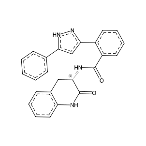 O=C(N[C@H]1Cc2ccccc2NC1=O)c1ccccc1-c1cc(-c2ccccc2)[nH]n1